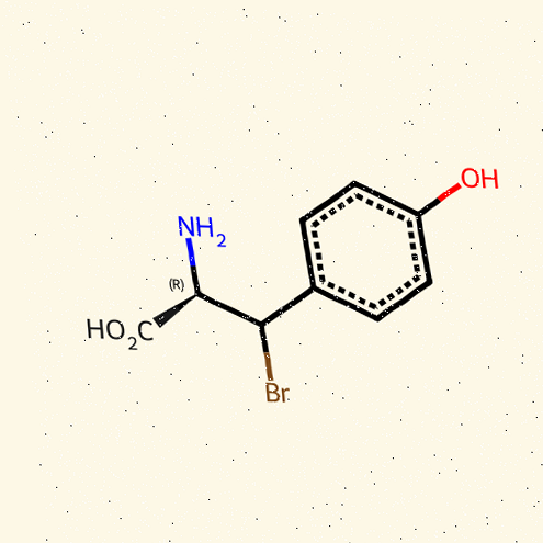 N[C@H](C(=O)O)C(Br)c1ccc(O)cc1